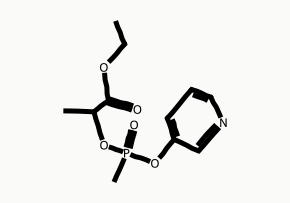 CCOC(=O)C(C)OP(C)(=O)Oc1cccnc1